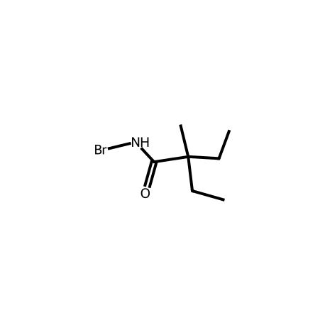 CCC(C)(CC)C(=O)NBr